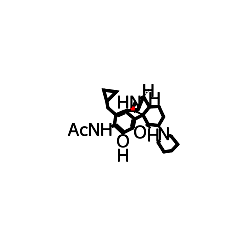 CC(=O)Nc1c(O)c2c3c(c1CC1CC1)C[C@H]1NCC[C@]34[C@H]1CC[C@@H](N1CCCCC1)[C@@H]4O2